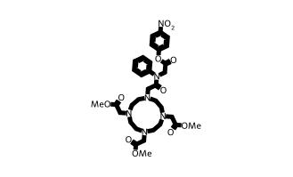 COC(=O)CN1CCN(CC(=O)OC)CCN(CC(=O)N(CC(=O)Oc2ccc([N+](=O)[O-])cc2)c2ccccc2)CCN(CC(=O)OC)CC1